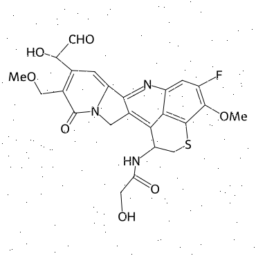 COCc1c(C(O)C=O)cc2n(c1=O)Cc1c-2nc2cc(F)c(OC)c3c2c1C(NC(=O)CO)CS3